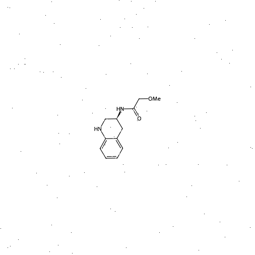 COCC(=O)N[C@@H]1CNc2ccccc2C1